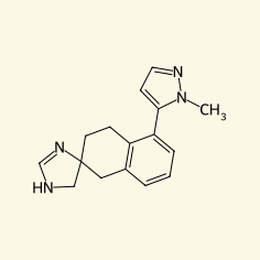 Cn1nccc1-c1cccc2c1CCC1(CNC=N1)C2